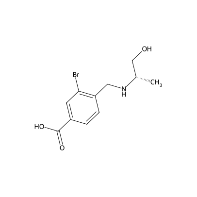 C[C@@H](CO)NCc1ccc(C(=O)O)cc1Br